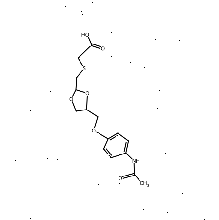 CC(=O)Nc1ccc(OCC2COC(CSCC(=O)O)O2)cc1